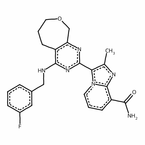 Cc1nc2c(C(N)=O)cccn2c1-c1nc2c(c(NCc3cccc(F)c3)n1)CCCOC2